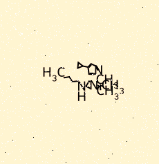 CCCCCNC1CN(C(C)(C)C)C1.c1cc(C2CC2)ccn1